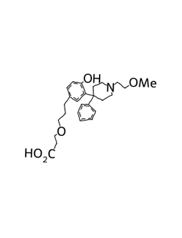 COCCN1CCC(c2ccccc2)(c2cc(CCCOCCC(=O)O)ccc2O)CC1